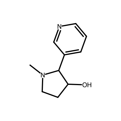 CN1CCC(O)C1c1cccnc1